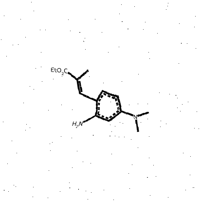 CCOC(=O)C(C)=Cc1ccc(N(C)C)cc1N